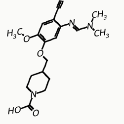 COc1cc(C#N)c(/N=C/N(C)C)cc1OCC1CCN(C(=O)O)CC1